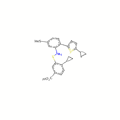 CSc1ccc(-c2ccc(C3CC3)s2)c(NSc2cc(C(=O)O)ccc2C2CC2)c1